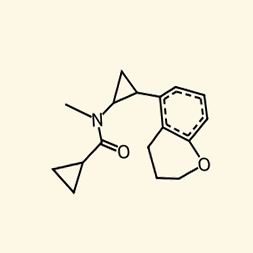 CN(C(=O)C1CC1)C1CC1c1cccc2c1CCCO2